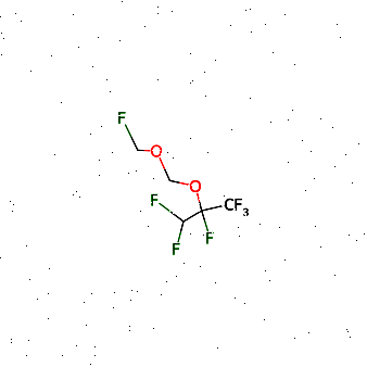 FCOCOC(F)(C(F)F)C(F)(F)F